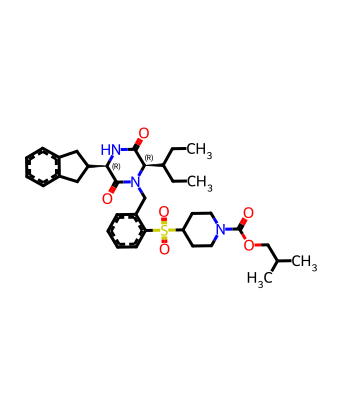 CCC(CC)[C@@H]1C(=O)N[C@H](C2Cc3ccccc3C2)C(=O)N1Cc1ccccc1S(=O)(=O)C1CCN(C(=O)OCC(C)C)CC1